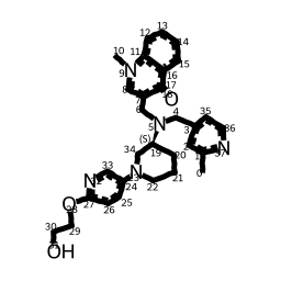 Cc1cc(CN(Cc2cn(C)c3ccccc3c2=O)[C@H]2CCCN(c3ccc(OCCO)nc3)C2)ccn1